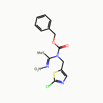 CS/C(=N\[N+](=O)[O-])N(Cc1cnc(Cl)s1)C(=O)OCc1ccccc1